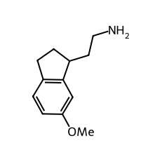 COc1ccc2c(c1)C(CCN)CC2